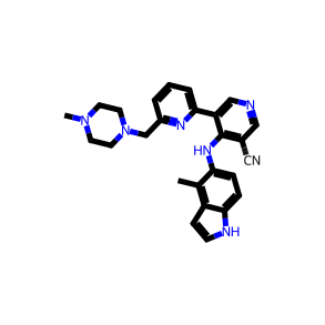 Cc1c(Nc2c(C#N)cncc2-c2cccc(CN3CCN(C)CC3)n2)ccc2[nH]ccc12